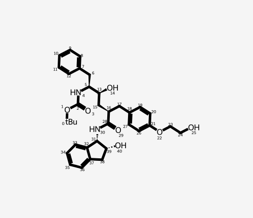 CC(C)(C)OC(=O)N[C@@H](Cc1ccccc1)[C@@H](O)C[C@@H](Cc1ccc(OCCO)cc1)C(=O)N[C@H]1c2ccccc2C[C@H]1O